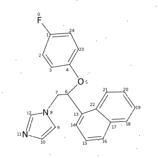 Fc1ccc(OC(Cn2ccnc2)c2cccc3ccccc23)cc1